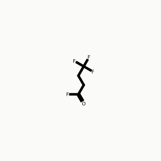 O=C(F)CCC(F)(F)F